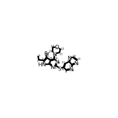 CCc1[nH]c2nc(Sc3cnc4nccnc4c3)nc(N3CCOCC3)c2c1Br